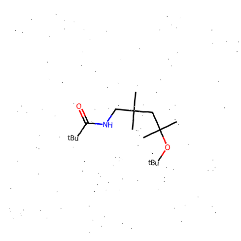 CC(C)(CNC(=O)C(C)(C)C)CC(C)(C)OC(C)(C)C